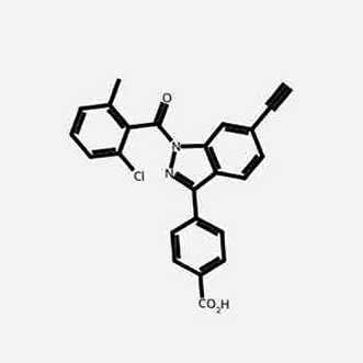 C#Cc1ccc2c(-c3ccc(C(=O)O)cc3)nn(C(=O)c3c(C)cccc3Cl)c2c1